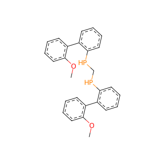 COc1ccccc1-c1ccccc1PCPc1ccccc1-c1ccccc1OC